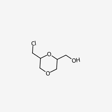 OCC1COCC(CCl)O1